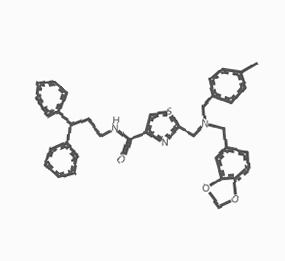 Cc1ccc(CN(Cc2ccc3c(c2)OCO3)Cc2nc(C(=O)NCCC(c3ccccc3)c3ccccc3)cs2)cc1